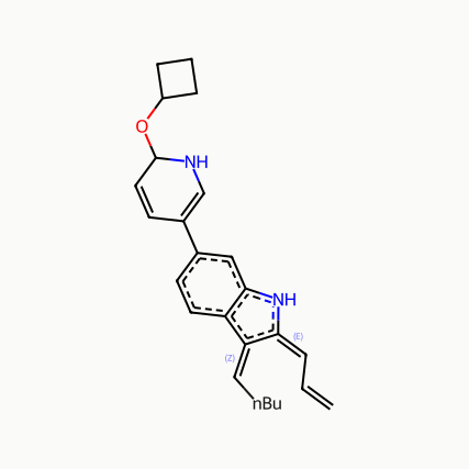 C=C/C=c1/[nH]c2cc(C3=CNC(OC4CCC4)C=C3)ccc2/c1=C/CCCC